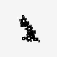 COc1ccc(Cl)cc1S(=O)(=O)Nc1ccc(-c2nc3cc(F)ccc3[nH]2)cc1